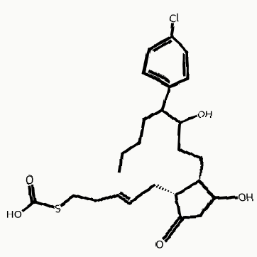 CCCCC(c1ccc(Cl)cc1)C(O)CC[C@H]1C(O)CC(=O)[C@@H]1CC=CCCSC(=O)O